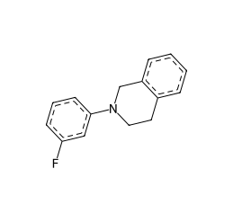 Fc1cccc(N2CCc3ccccc3C2)c1